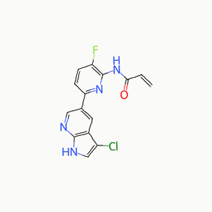 C=CC(=O)Nc1nc(-c2cnc3[nH]cc(Cl)c3c2)ccc1F